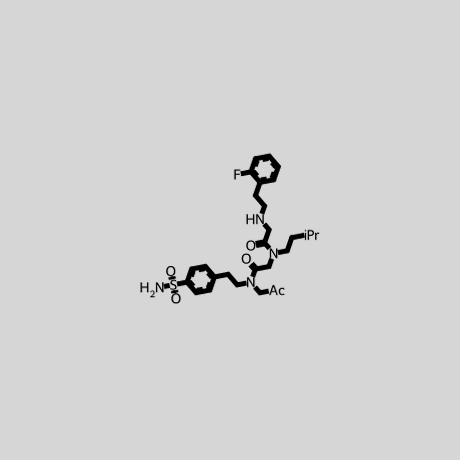 CC(=O)CN(CCc1ccc(S(N)(=O)=O)cc1)C(=O)CN(CCC(C)C)C(=O)CNCCc1ccccc1F